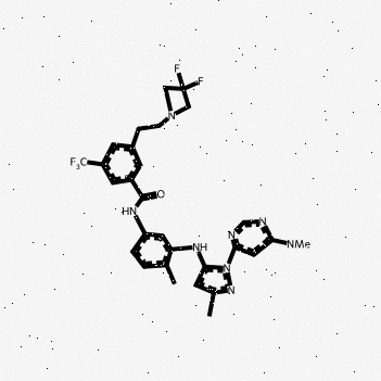 CNc1cc(-n2nc(C)cc2Nc2cc(NC(=O)c3cc(CCN4CC(F)(F)C4)cc(C(F)(F)F)c3)ccc2C)ncn1